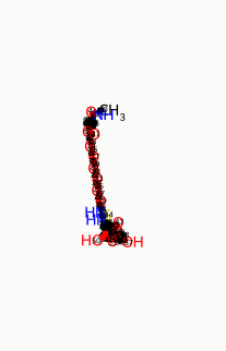 CCNC(=O)c1ccc(OC(=O)CCOCCOCCOCCOCCOCCOCCNC(=S)Nc2ccc3c(c2)C(=O)OC32c3ccc(O)cc3OC3=CC(O)=CCC32)cc1